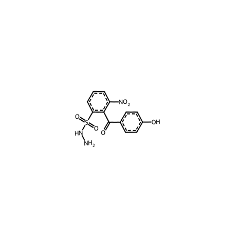 NNS(=O)(=O)c1cccc([N+](=O)[O-])c1C(=O)c1ccc(O)cc1